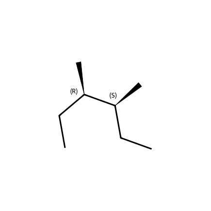 CC[C@@H](C)[C@@H](C)CC